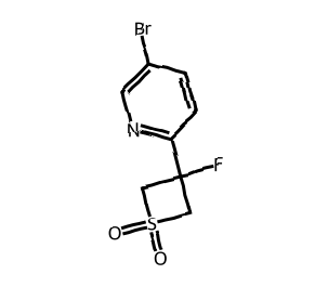 O=S1(=O)CC(F)(c2ccc(Br)cn2)C1